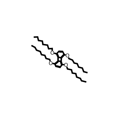 CCCCCCCCOc1ccc(OCCCCCCCC)c2c1-c1c(OCCCCCCCC)ccc(OCCCCCCCC)c1-2